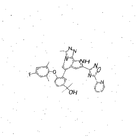 Cc1cc(F)cc(C)c1Oc1ccc(C(C)(C)O)cc1-c1cn2c(C)nnc2c2[nH]c(-c3noc(-c4ccccn4)n3)cc12